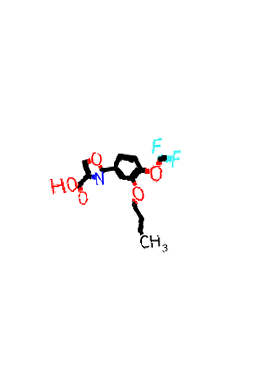 CCCCOc1cc(-c2nc(C(=O)O)co2)ccc1OC(F)F